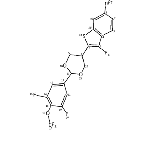 CCCc1ccc2c(F)c(C3COC(c4cc(F)c(OC(F)(F)F)c(F)c4)OC3)sc2c1